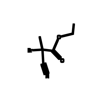 CCOC(=O)C(C)(Br)C#N